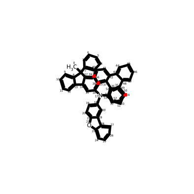 CC1(c2ccccc2)c2ccccc2-c2cc(N(c3ccc4oc5ccccc5c4c3)c3ccccc3-c3ccccc3-c3ccccc3-c3ccccc3)ccc21